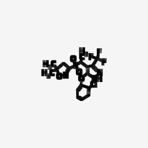 CC(c1c(C(F)(F)F)n[nH]c1Oc1ccccc1Cl)S(=O)(=O)C1=NOC(C)(C)C1